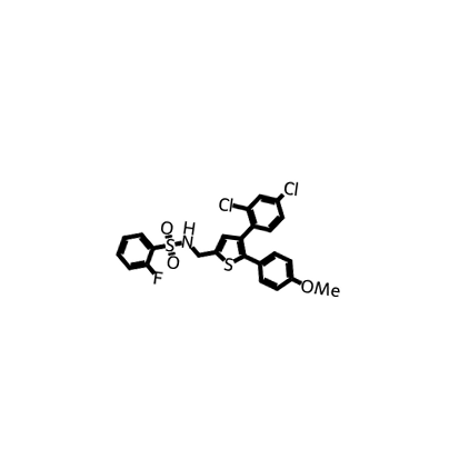 COc1ccc(-c2sc(CNS(=O)(=O)c3ccccc3F)cc2-c2ccc(Cl)cc2Cl)cc1